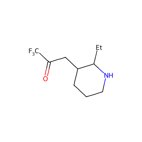 CCC1NCCCC1CC(=O)C(F)(F)F